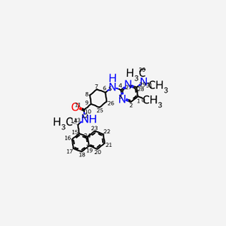 Cc1cnc(NC2CCC(C(=O)N[C@@H](C)c3cccc4ccccc34)CC2)nc1N(C)C